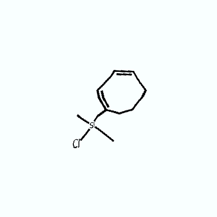 C[Si](C)(Cl)C1=CC=CCC1